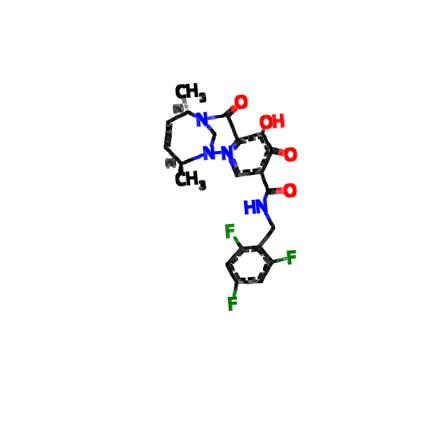 C[C@H]1C=C[C@H](C)N2CN1C(=O)c1c(O)c(=O)c(C(=O)NCc3c(F)cc(F)cc3F)cn12